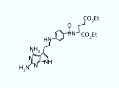 CCOC(=O)CC[C@@H](NC(=O)c1ccc(NCCc2c[nH]c3nc(N)nc(N)c23)cc1)C(=O)OCC